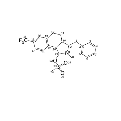 CN1C(Cc2ccccc2)C2CCc3cc(C(F)(F)F)ccc3C2C1OS(C)(=O)=O